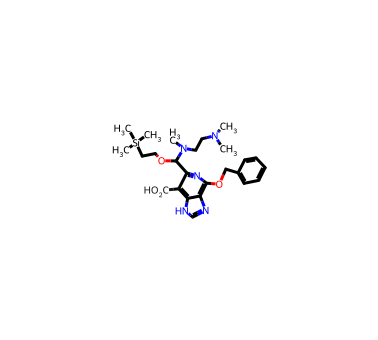 CN(C)CCN(C)C(OCC[Si](C)(C)C)c1nc(OCc2ccccc2)c2nc[nH]c2c1C(=O)O